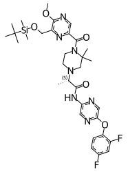 COc1ncc(C(=O)N2CCN([C@@H](C)C(=O)Nc3cnc(Oc4ccc(F)cc4F)cn3)CC2(C)C)nc1CO[Si](C)(C)C(C)(C)C